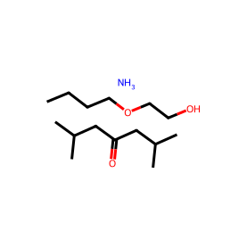 CC(C)CC(=O)CC(C)C.CCCCOCCO.N